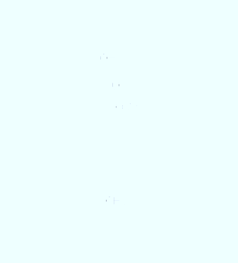 CCCCCCCCCCCCCC1OCC(COCCCO)O1